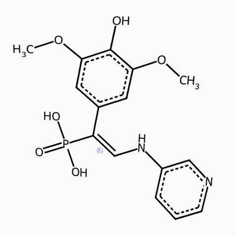 COc1cc(/C(=C\Nc2cccnc2)P(=O)(O)O)cc(OC)c1O